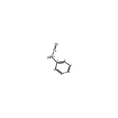 [O]=[Ti][NH]c1ccccc1